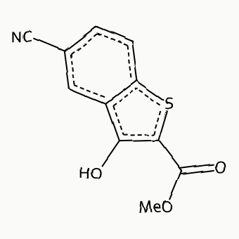 COC(=O)c1sc2ccc(C#N)cc2c1O